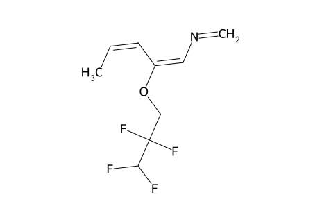 C=N/C=C(\C=C/C)OCC(F)(F)C(F)F